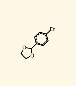 CCc1ccc(C2OCCO2)cc1